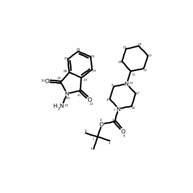 CC(C)(C)OC(=O)N1CCN(C2CCCCC2)CC1.NN1C(=O)c2ccccc2C1=O